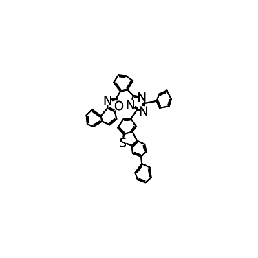 c1ccc(-c2ccc3c(c2)sc2ccc(-c4nc(-c5ccccc5)nc(-c5ccccc5-c5nc6c(ccc7ccccc76)o5)n4)cc23)cc1